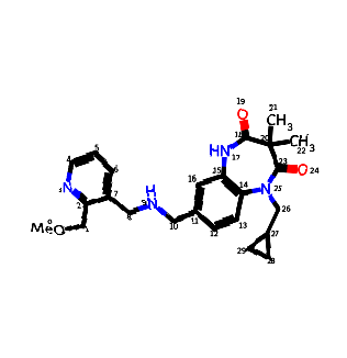 COCc1ncccc1CNCc1ccc2c(c1)NC(=O)C(C)(C)C(=O)N2CC1CC1